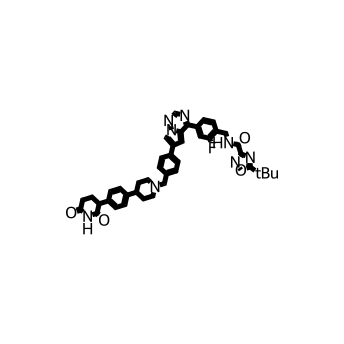 CC(C)(C)c1nc(C(=O)NCc2ccc(-c3ncnn4cc(-c5ccc(CN6CCC(c7ccc(C8CCC(=O)NC8=O)cc7)CC6)cc5)cc34)cc2F)no1